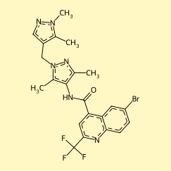 Cc1nn(Cc2cnn(C)c2C)c(C)c1NC(=O)c1cc(C(F)(F)F)nc2ccc(Br)cc12